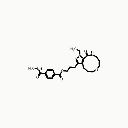 CCn1nc(CCCOC(=O)c2ccc(C(=O)NC)cc2)c2c1C(=O)NCCCOCCC2